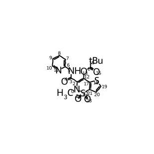 CN1C(C(=O)Nc2ccccn2)=C(OC(=O)C(C)(C)C)c2sccc2S1(=O)=O